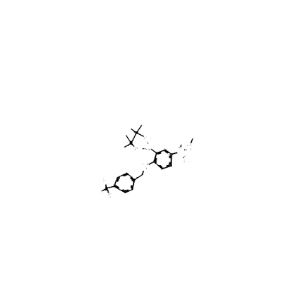 CNS(=O)(=O)c1ccc(NCc2ccc(C(F)(F)F)cc2)c(B2OC(C)(C)C(C)(C)O2)c1